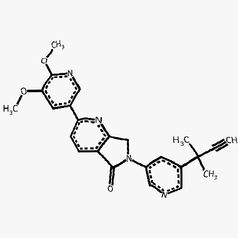 C#CC(C)(C)c1cncc(N2Cc3nc(-c4cnc(OC)c(OC)c4)ccc3C2=O)c1